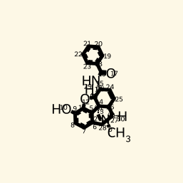 CN1CC[C@]23c4c5ccc(O)c4O[C@H]2[C@H](NC(=O)c2ccccc2)C=CC3[C@H]1C5